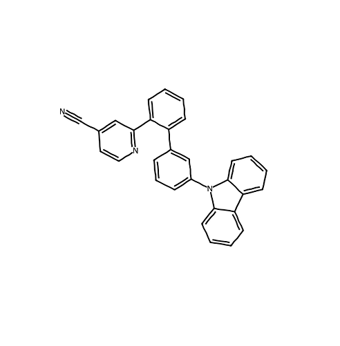 N#Cc1ccnc(-c2ccccc2-c2cccc(-n3c4ccccc4c4ccccc43)c2)c1